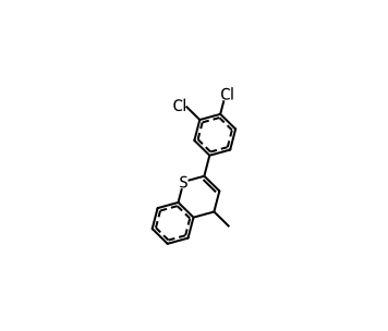 CC1C=C(c2ccc(Cl)c(Cl)c2)Sc2ccccc21